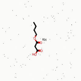 CCCCOC(=O)CC(=O)O.[KH]